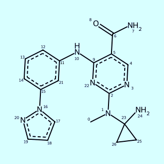 CN(c1ncc(C(N)=O)c(Nc2cccc(-n3cccn3)c2)n1)C1(N)CC1